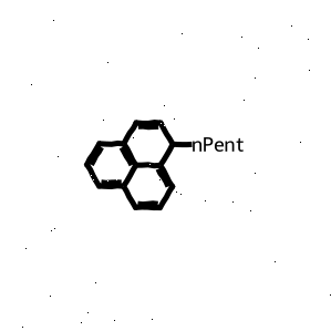 CCCCCC1C=Cc2cccc3cccc1c23